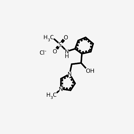 C[n+]1ccn(CC(O)c2ccccc2NS(C)(=O)=O)c1.[Cl-]